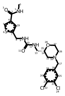 CNC(=O)c1csc(CNC(=O)NC[C@H]2CN(Cc3ccc(Cl)c(Cl)c3)CCO2)c1